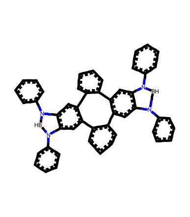 B1N(c2ccccc2)c2cc3c(cc2N1c1ccccc1)-c1ccccc1-c1cc2c(cc1-c1ccccc1-3)N(c1ccccc1)BN2c1ccccc1